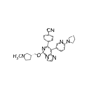 CN1CC[C@@H](COc2nc(-c3ccc(C#N)cc3)c(-c3ccc(N4CCCC4)nc3)c3nccn23)C1